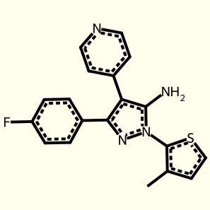 Cc1ccsc1-n1nc(-c2ccc(F)cc2)c(-c2ccncc2)c1N